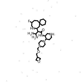 NC(N)C(C(=O)NC1CNCCC1N1CCN(COCC2COC2)CC1)C1CC2(CCCCC2)CCC(F)CN1